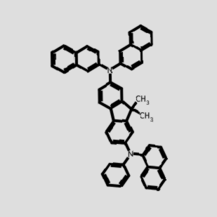 CC1(C)c2cc(N(c3ccc4ccccc4c3)c3ccc4ccccc4c3)ccc2-c2ccc(N(c3ccccc3)c3cccc4ccccc34)cc21